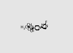 CC(C)(C)OC(=O)N1CCN(c2ccnc(F)n2)CC1